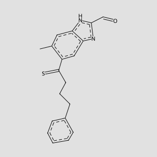 Cc1cc2[nH]c(C=O)nc2cc1C(=S)CCCc1ccccc1